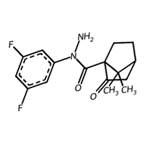 CC1(C)C2CCC1(C(=O)N(N)c1cc(F)cc(F)c1)C(=O)C2